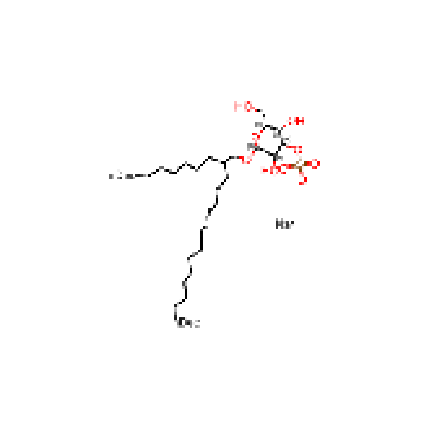 CCCCCCCCCCCCCCCCCCCCCCC(CCCCCCCCCCCCCCCC)CO[C@H]1O[C@H](CO)[C@H](O)[C@@H](OS(=O)(=O)[O-])[C@H]1O.[Na+]